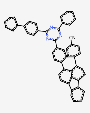 N#Cc1ccc(-c2ccc3c4c(ccc(-c5ccc(-c6nc(-c7ccccc7)nc(-c7ccc(-c8ccccc8)cc7)n6)cc5)c24)-c2ccccc2-3)cc1